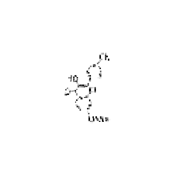 COc1ccc2c(=O)c(O)c(-c3ccc(C#N)cc3)oc2c1